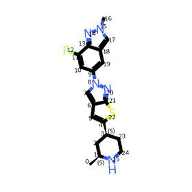 C[C@H]1C[C@@H](c2cc3cn(-c4cc(F)c5nn(C)cc5c4)nc3s2)CCN1